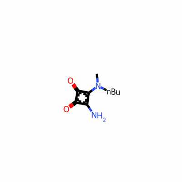 CCCCN(C)c1c(N)c(=O)c1=O